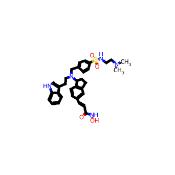 CN(C)CCNS(=O)(=O)c1ccc(CN(CCc2c[nH]c3ccccc23)C2CCc3cc(C=CC(=O)NO)ccc32)cc1